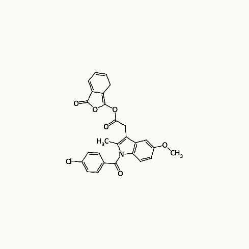 COc1ccc2c(c1)c(CC(=O)OC1=C3CC=CC=C3C(=O)O1)c(C)n2C(=O)c1ccc(Cl)cc1